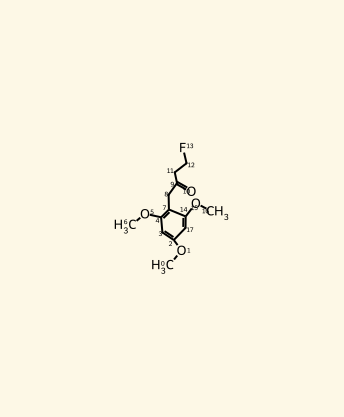 COc1cc(OC)c(CC(=O)CCF)c(OC)c1